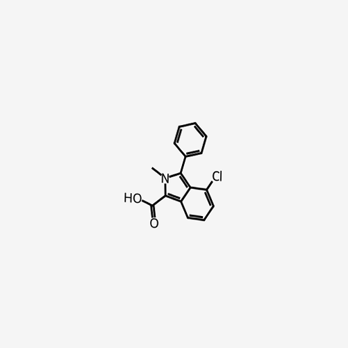 Cn1c(C(=O)O)c2cccc(Cl)c2c1-c1ccccc1